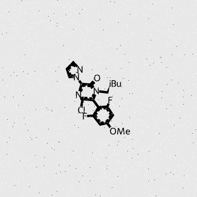 CC[C@H](C)Cn1c(-c2c(F)cc(OC)cc2F)c(Cl)nc(-n2cccn2)c1=O